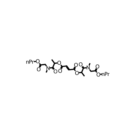 CCCOC(=O)CN(C)C(=O)C(C)OC(=O)/C=C/C(=O)OC(C)C(=O)N(C)CC(=O)OCCC